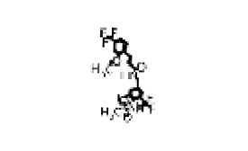 CCOc1cc(C(F)(F)F)ccc1C=CC(=O)NCc1cc(F)c(NS(C)(=O)=O)c(C(F)(F)F)c1